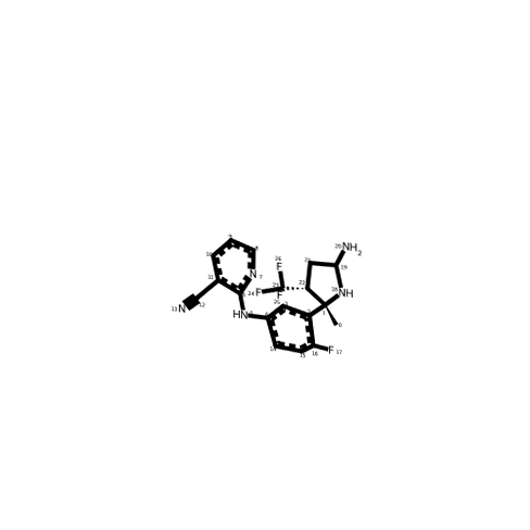 C[C@]1(c2cc(Nc3ncccc3C#N)ccc2F)NC(N)C[C@H]1C(F)(F)F